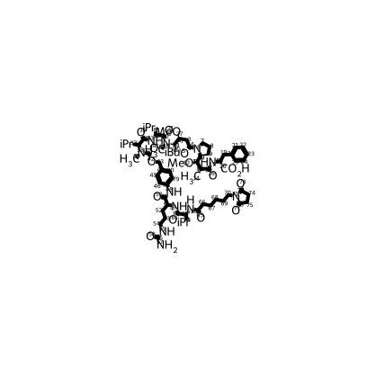 CC[C@H](C)[C@@H]([C@@H](CC(=O)N1CCC[C@H]1[C@H](OC)[C@@H](C)C(=O)N[C@@H](Cc1ccccc1)C(=O)O)OC)N(C)C(=O)C(NC(=O)C(C(C)C)N(C)C(=O)OCc1ccc(NC(=O)C(CCCNC(N)=O)NC(=O)C(NC(=O)CCCCCN2C(=O)CCC2=O)C(C)C)cc1)C(C)C